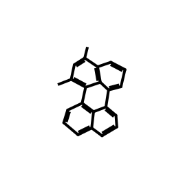 Cc1cc(C)c2c3cccc4cccc(c5cccc1c52)c43